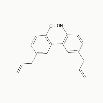 C=CCc1ccc(O)c(-c2cc(CC=C)ccc2N=O)c1